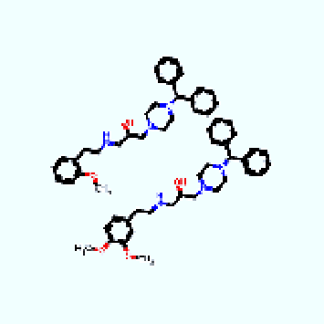 COc1ccc(CCNCC(O)CN2CCN(C(c3ccccc3)c3ccccc3)CC2)cc1OC.COc1ccccc1CCNCC(O)CN1CCN(C(c2ccccc2)c2ccccc2)CC1